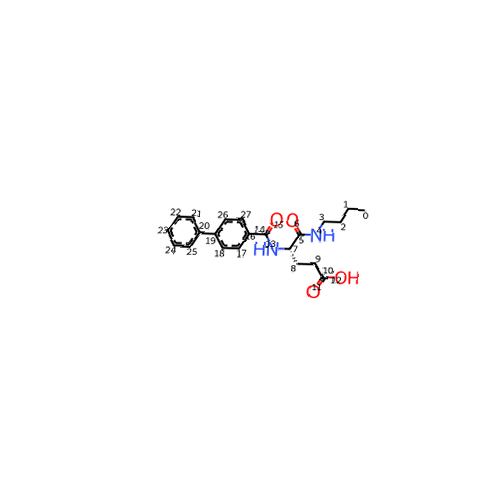 CCCCNC(=O)[C@H](CCC(=O)O)NC(=O)c1ccc(-c2ccccc2)cc1